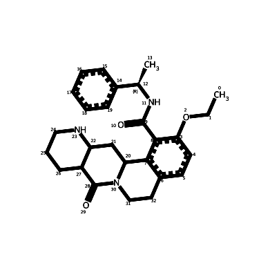 CCOc1ccc2c(c1C(=O)N[C@H](C)c1ccccc1)C1CC3NCCCC3C(=O)N1CC2